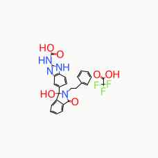 O=C(O)C(F)(F)F.O=C(O)Nc1nc2cc(C3(O)c4ccccc4C(=O)N3CCc3ccccc3)ccc2[nH]1